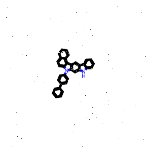 C1=Cc2c(ccc3c2c2cc4c(cc2n3-c2ccc(-c3ccccc3)cc2)[nH]c2ccccc24)CC1